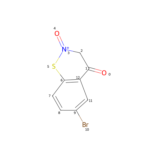 O=C1C[N+](=O)Sc2ccc(Br)cc21